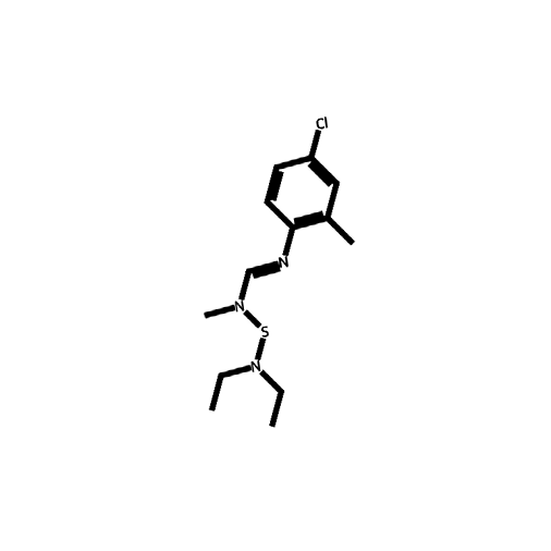 CCN(CC)SN(C)C=Nc1ccc(Cl)cc1C